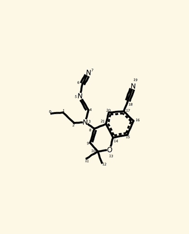 CCCN(C=NC#N)C1=CC(C)(C)Oc2ccc(C#N)cc21